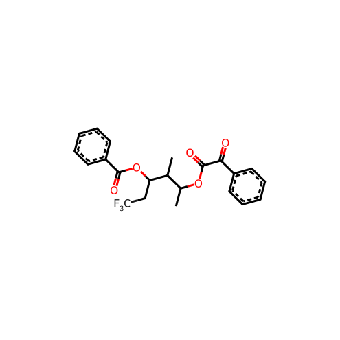 CC(OC(=O)C(=O)c1ccccc1)C(C)C(CC(F)(F)F)OC(=O)c1ccccc1